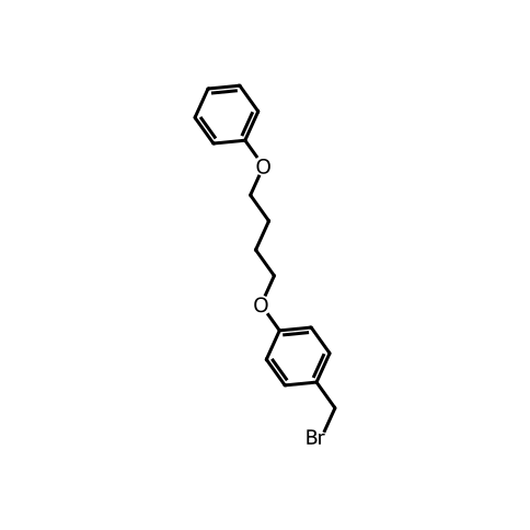 BrCc1ccc(OCCCCOc2ccccc2)cc1